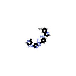 Cc1cc(Nc2cnc3nc(-c4cccc(Nc5ccnc6ccc(C#N)cc56)c4)[nH]c3c2)ccn1